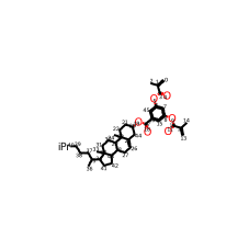 C=C(C)C(=O)Oc1cc(OC(=O)C(=C)C)cc(C(=O)OC2CCC3(C)C(=CCC4C3CCC3(C)C(C(C)CCCC(C)C)CCC43)C2)c1